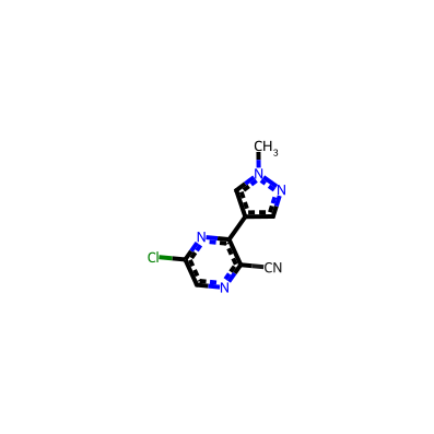 Cn1cc(-c2nc(Cl)cnc2C#N)cn1